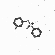 O=S(=O)(Oc1cccc(F)c1)c1ccccc1